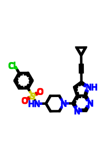 O=S(=O)(NC1CCN(c2ncnc3[nH]c(C#CC4CC4)cc23)CC1)c1ccc(Cl)cc1